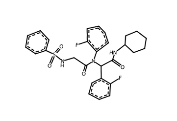 O=C(NC1CCCCC1)C(c1ccccc1F)N(C(=O)CNS(=O)(=O)c1ccccc1)c1ccccc1F